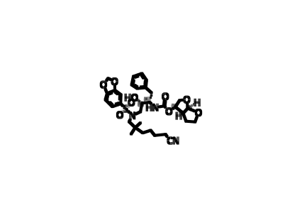 CC(C)(CCCCC#N)CN(C[C@H](O)[C@H](Cc1ccccc1)NC(=O)O[C@H]1CO[C@H]2OCC[C@H]21)S(=O)(=O)c1ccc2c(c1)OCO2